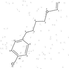 C=COCCCCc1ccc(Cl)cc1